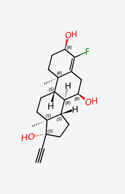 C#C[C@]1(O)CC[C@H]2[C@@H]3[C@H](O)CC4=C(F)[C@H](O)CC[C@]4(C)[C@H]3CC[C@@]21C